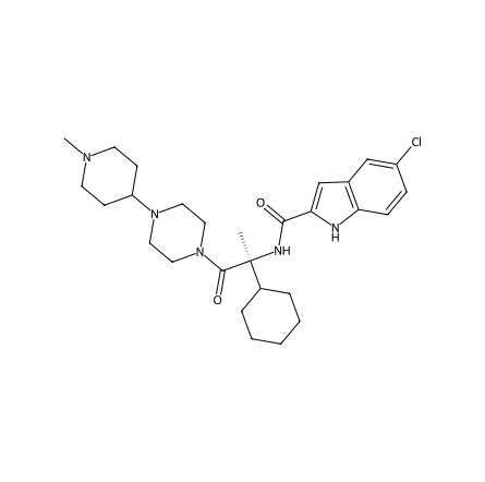 CN1CCC(N2CCN(C(=O)[C@@](C)(NC(=O)c3cc4cc(Cl)ccc4[nH]3)C3CCCCC3)CC2)CC1